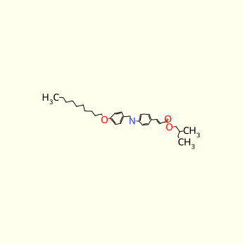 CCCCCCCCCCOc1ccc(C=Nc2ccc(/C=C/C(=O)OCC(C)CC)cc2)cc1